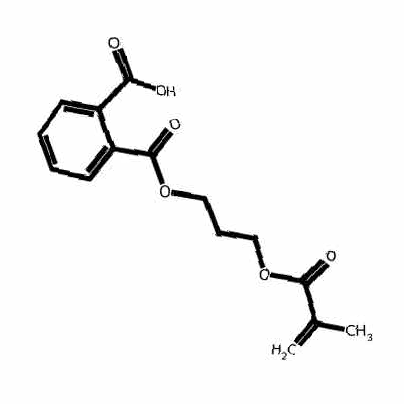 C=C(C)C(=O)OCCCOC(=O)c1ccccc1C(=O)O